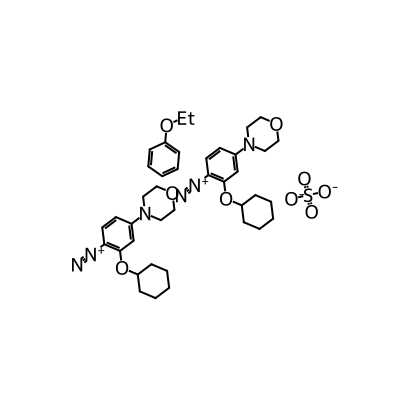 CCOc1ccccc1.N#[N+]c1ccc(N2CCOCC2)cc1OC1CCCCC1.N#[N+]c1ccc(N2CCOCC2)cc1OC1CCCCC1.O=S(=O)([O-])[O-]